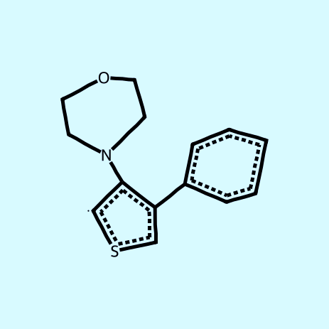 [c]1scc(-c2ccccc2)c1N1CCOCC1